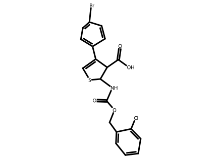 O=C(NC1SC=C(c2ccc(Br)cc2)C1C(=O)O)OCc1ccccc1Cl